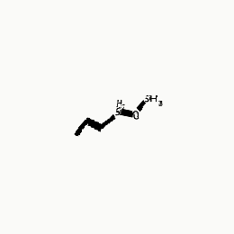 CC=C[SiH2]O[SiH3]